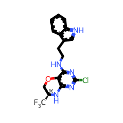 FC(F)(F)[C@H]1COc2c(NCCc3c[nH]c4ccccc34)nc(Cl)nc2N1